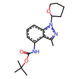 Cc1nn(C2CCCCO2)c2cccc(NC(=O)OC(C)(C)C)c12